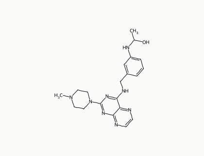 CC(O)Nc1cccc(CNc2nc(N3CCN(C)CC3)nc3nccnc23)c1